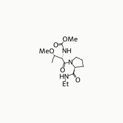 CCNC(=O)[C@@H]1CCCN1C(=O)[C@@H](NC(=O)OC)[C@H](C)OC